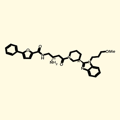 COCCCn1c([C@@H]2CCCN(C(=O)C[C@H](N)CNC(=O)c3ccc(-c4ccccc4)o3)C2)nc2ccccc21